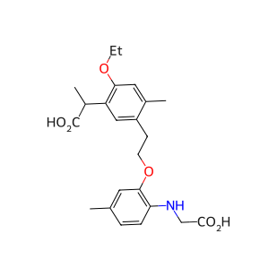 CCOc1cc(C)c(CCOc2cc(C)ccc2NCC(=O)O)cc1C(C)C(=O)O